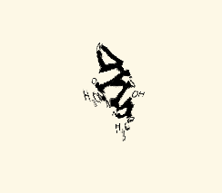 COc1cnc(-c2nn(C)c(=O)c3c(-c4ccncc4)csc23)c(O)c1